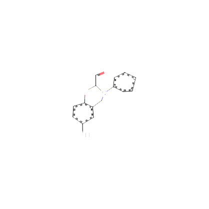 Cc1ccc2c(c1)CN(c1ccccc1)C(C=O)O2